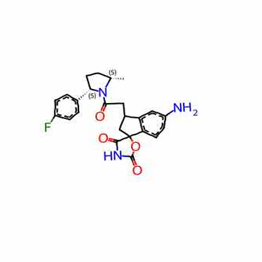 C[C@H]1CC[C@@H](c2ccc(F)cc2)N1C(=O)CC1CC2(OC(=O)NC2=O)c2ccc(N)cc21